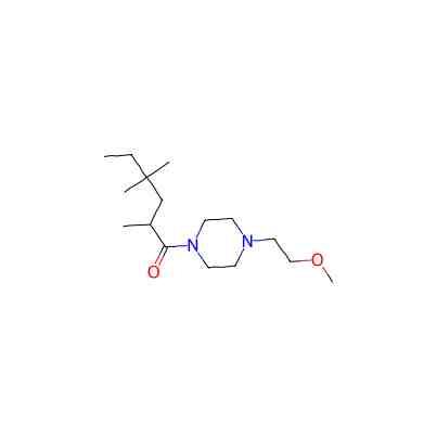 CCC(C)(C)CC(C)C(=O)N1CCN(CCOC)CC1